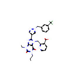 CCCn1c(=O)c2c(nc(-c3cnn(Cc4cccc(C(F)(F)F)c4)c3)n2Cc2ncccc2C(=O)O)n(CC)c1=O